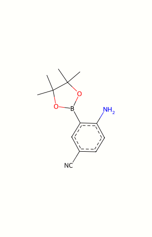 CC1(C)OB(c2cc(C#N)ccc2N)OC1(C)C